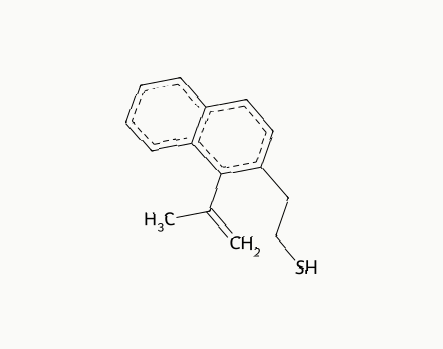 C=C(C)c1c(CCS)ccc2ccccc12